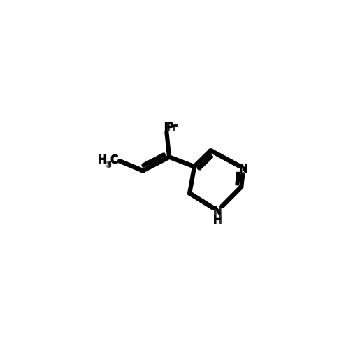 CC=C(C1=CN=CNC1)C(C)C